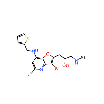 CCNC[C@H](O)Cc1oc2c(NCc3cccs3)cc(Cl)nc2c1Br